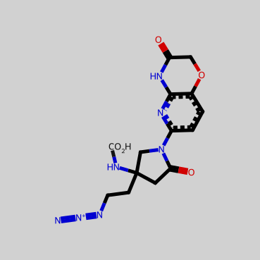 [N-]=[N+]=NCCC1(NC(=O)O)CC(=O)N(c2ccc3c(n2)NC(=O)CO3)C1